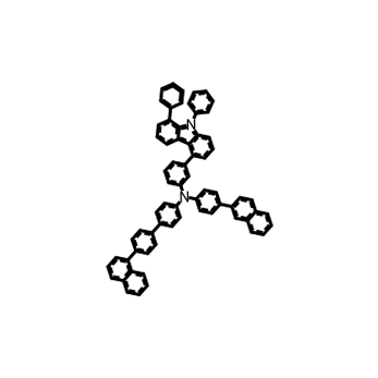 C1=C=CC(c2cccc3c4c(-c5cccc(N(c6ccc(-c7ccc(-c8cccc9ccccc89)cc7)cc6)c6ccc(-c7ccc8ccccc8c7)cc6)c5)cccc4n(-c4ccccc4)c23)=CC=1